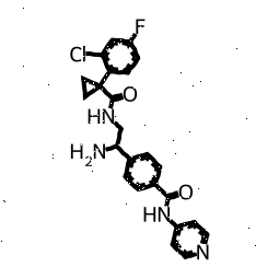 NC(CNC(=O)C1(c2ccc(F)cc2Cl)CC1)c1ccc(C(=O)Nc2ccncc2)cc1